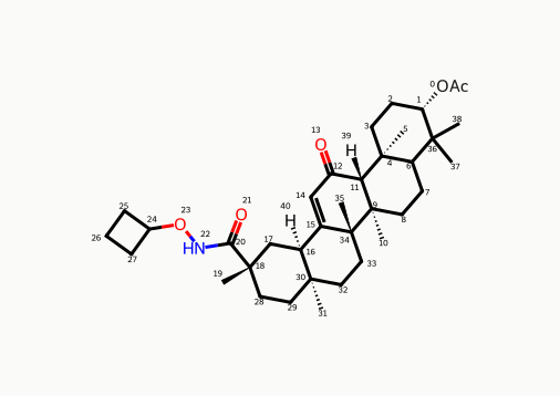 CC(=O)O[C@H]1CC[C@@]2(C)C(CC[C@]3(C)[C@@H]2C(=O)C=C2[C@@H]4C[C@@](C)(C(=O)NOC5CCC5)CC[C@]4(C)CC[C@]23C)C1(C)C